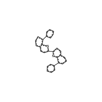 c1ccc(-c2cccc3ccc(-c4ccc5cccc(-c6ccccc6)c5n4)nc23)cc1